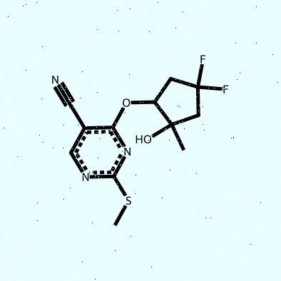 CSc1ncc(C#N)c(OC2CC(F)(F)CC2(C)O)n1